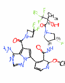 COc1nccc(-c2cc(C(=O)N3CC(F)(F)C3)c3c(N)ncnn23)c1C(=O)N[C@@H]1CN(C(=O)[C@@](C)(O)C(F)(F)F)C[C@@H]1F